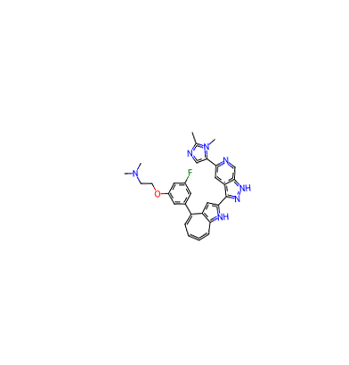 Cc1ncc(-c2cc3c(-c4cc5c([nH]4)C=C=CC=C5c4cc(F)cc(OCCN(C)C)c4)n[nH]c3cn2)n1C